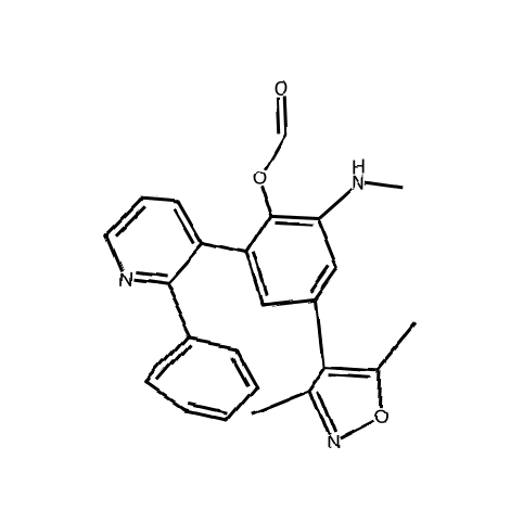 CNc1cc(-c2c(C)noc2C)cc(-c2cccnc2-c2ccccc2)c1OC=O